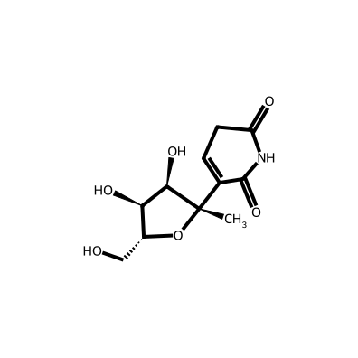 C[C@@]1(C2=CCC(=O)NC2=O)O[C@H](CO)[C@@H](O)[C@H]1O